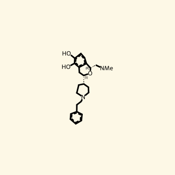 CNC[C@@H]1O[C@H](C2CCN(CCc3ccccc3)CC2)Cc2c1ccc(O)c2O